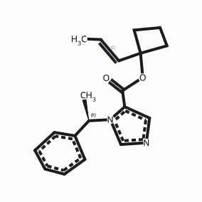 C/C=C/C1(OC(=O)c2cncn2[C@H](C)c2ccccc2)CCC1